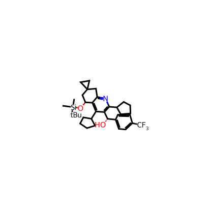 CC(C)(C)[Si](C)(C)O[C@H]1CC2(CC2)Cc2nc(C3CCCC3)c([C@@H](O)c3ccc(C(F)(F)F)cc3)c(C3CCCC3)c21